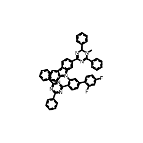 CN1C(c2ccccc2)=NC(c2ccc3c4ccccc4n(-c4cc(-c5ccc(F)cc5F)ccc4-c4nc(-c5ccccc5)nc(-c5ccccc5)n4)c3c2)=NC1c1ccccc1